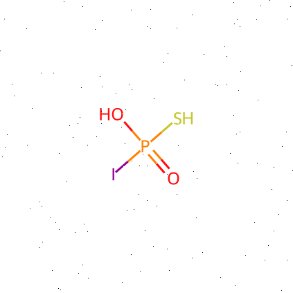 O=P(O)(S)I